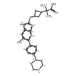 CC(C)(C(=O)O)C1CC(Oc2nc3nc(-c4ccc(N5CCOCC5)cc4)c(Cl)cc3[nH]2)C1